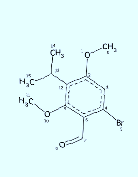 COc1cc(Br)c(C=O)c(OC)c1C(C)C